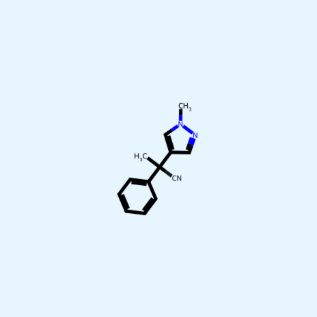 Cn1cc(C(C)(C#N)c2ccccc2)cn1